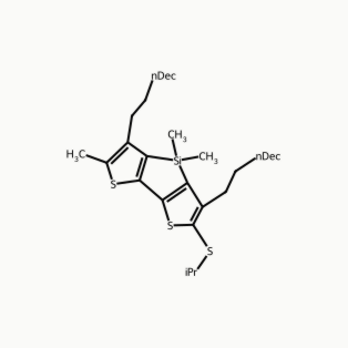 CCCCCCCCCCCCc1c(C)sc2c1[Si](C)(C)c1c-2sc(SC(C)C)c1CCCCCCCCCCCC